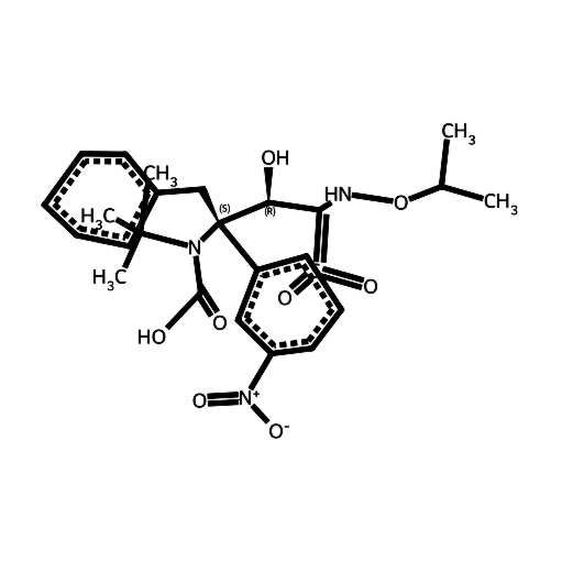 CC(C)ONC([C@H](O)[C@](Cc1ccccc1)(c1cccc([N+](=O)[O-])c1)N(C(=O)O)C(C)(C)C)=S(=O)=O